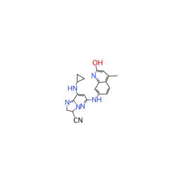 Cc1cc(O)nc2cc(NC3=NN4C(=NCC4C#N)C(NC4CC4)=C3)ccc12